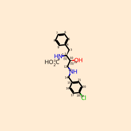 O=C(O)N[C@@H](Cc1ccccc1)[C@@H](O)CNCc1ccc(Cl)cc1